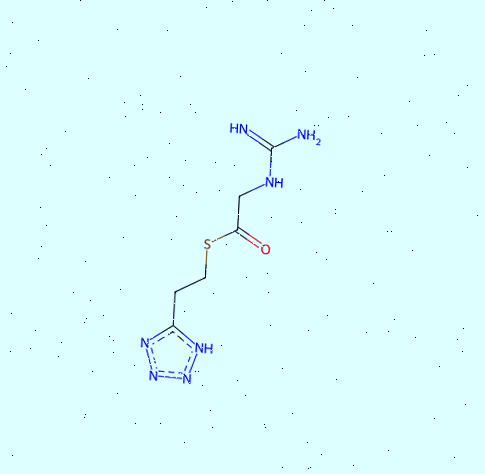 N=C(N)NCC(=O)SCCc1nnn[nH]1